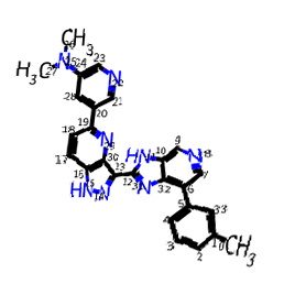 Cc1cccc(-c2cncc3[nH]c(-c4n[nH]c5ccc(-c6cncc(N(C)C)c6)nc45)nc23)c1